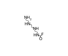 NCCNCCNCCNC(=O)F